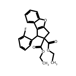 CCOC(=O)C1(C(=O)OCC)Cc2oc3ccccc3c2C1c1ccccc1F